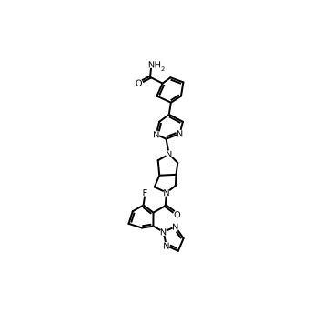 NC(=O)c1cccc(-c2cnc(N3CC4CN(C(=O)c5c(F)cccc5-n5nccn5)CC4C3)nc2)c1